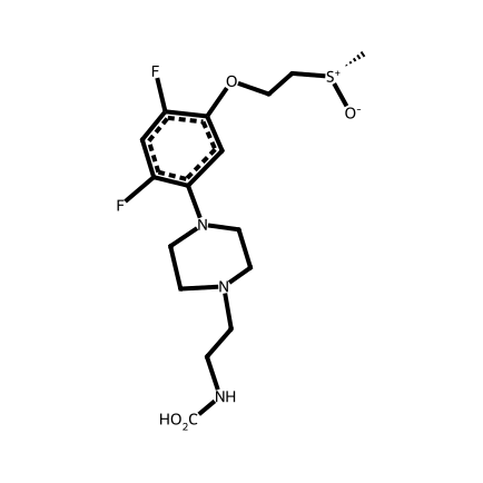 C[S@+]([O-])CCOc1cc(N2CCN(CCNC(=O)O)CC2)c(F)cc1F